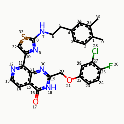 Cc1ccc(CCNc2nc(-c3nccc4c(=O)[nH]c(COc5ccc(F)c(Cl)c5)nc34)cs2)cc1C